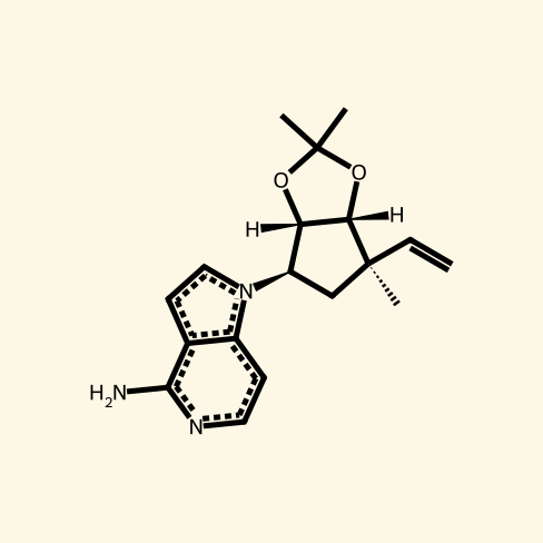 C=C[C@@]1(C)C[C@@H](n2ccc3c(N)nccc32)[C@@H]2OC(C)(C)O[C@@H]21